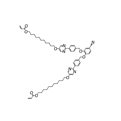 C=CC(=O)OCCCCCCCCCCCOc1cnc(-c2ccc(COc3ccc(C#N)cc3OCc3ccc(-c4ncc(OCCCCCCCCCCCOC(=O)C=C)cn4)cc3)cc2)nc1